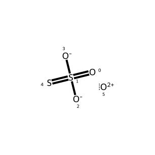 O=S([O-])([O-])=S.[O+2]